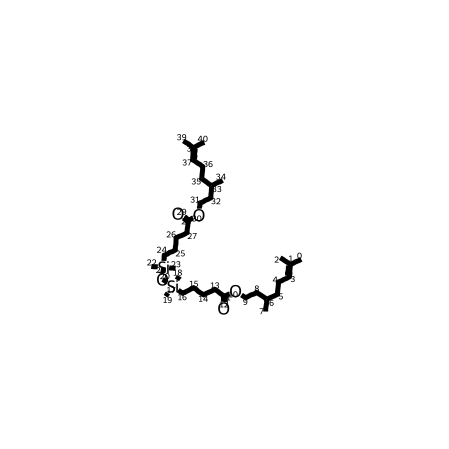 CC(C)=CCCC(C)CCOC(=O)CCCC[Si](C)(C)O[Si](C)(C)CCCCC(=O)OCCC(C)CCC=C(C)C